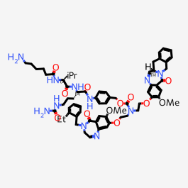 CCc1ccccc1CN1CC=Nc2cc(OCCN(CCOc3cc4c(cc3OC)C(=O)N3Cc5ccccc5C[C@H]3C=N4)C(=O)OCc3ccc(NC(=O)[C@H](CCCNC(N)=O)NC(=O)[C@@H](NC(=O)CCCCCN)C(C)C)cc3)c(OC)cc2C1=O